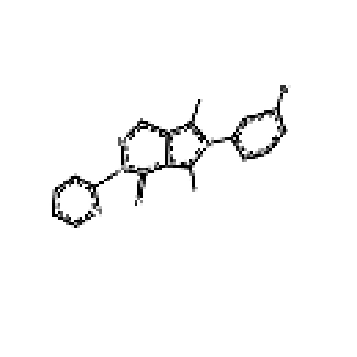 Cc1c2cnn(-c3ccccn3)c(=O)c2c(C)n1-c1cccc(Br)c1